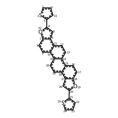 c1csc(-c2cc3c(ccc4c3ccc3c5ccc6oc(-c7cccs7)cc6c5ccc43)o2)c1